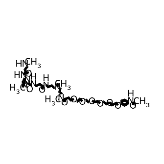 CNCCC(=O)Nc1cn(C)c(C(=O)NCCC(=O)NCCCN(C)CCCN(C)C(=O)CCOCCOCCOCCOCCOCCOc2ccc(NC(C)=O)cc2)n1